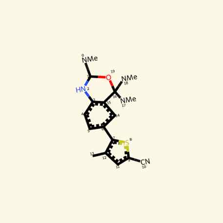 CNC1Nc2ccc(-c3sc(C#N)cc3C)cc2C(NC)(NC)O1